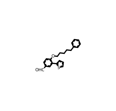 O=Cc1ccc(OCCCCCc2ccccc2)c(-c2cccs2)c1